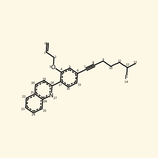 C=CCOc1cc(C#CCCCC(C)F)ccc1-c1ccc2ccccc2n1